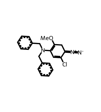 COC1=C(N(Cc2ccccc2)Cc2ccccc2)C=C(Cl)C(=[N+]=[N-])C1